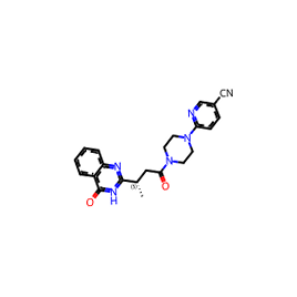 C[C@@H](CC(=O)N1CCN(c2ccc(C#N)cn2)CC1)c1nc2ccccc2c(=O)[nH]1